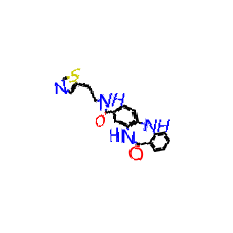 O=C(NCCc1cncs1)c1ccc2c(c1)NC(=O)c1ccccc1N2